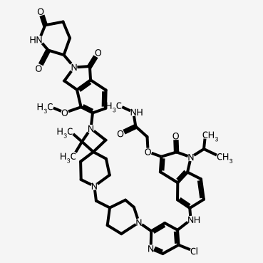 CNC(=O)COc1cc2cc(Nc3cc(N4CCC(CN5CCC6(CC5)CN(c5ccc7c(c5OC)CN(C5CCC(=O)NC5=O)C7=O)C6(C)C)CC4)ncc3Cl)ccc2n(C(C)C)c1=O